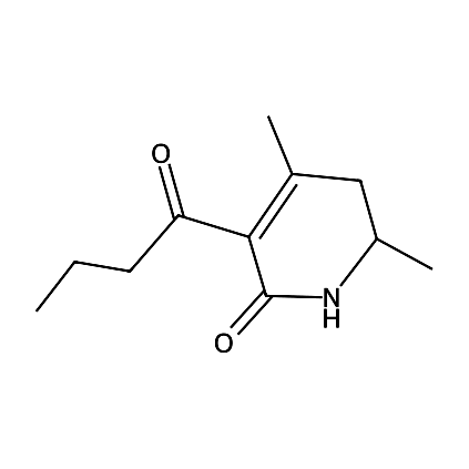 CCCC(=O)C1=C(C)CC(C)NC1=O